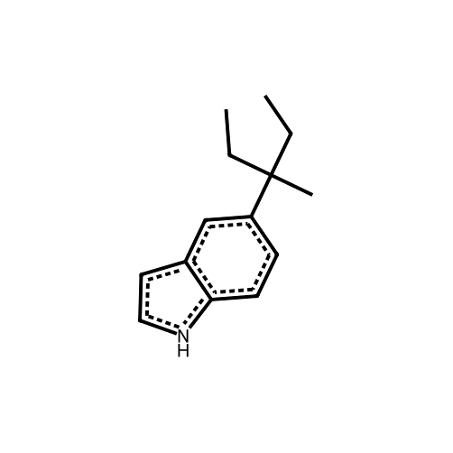 CCC(C)(CC)c1ccc2[nH]ccc2c1